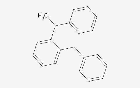 CC(c1ccccc1)c1ccccc1Cc1ccccc1